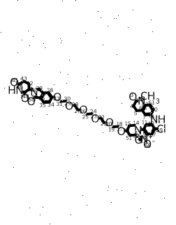 CN1C(=O)CCc2cc(Nc3cc(N4CCC(OCCOCCOCCOCCOCCOc5ccc6c(c5)CN(C5CCC(=O)NC5=O)C6=O)CC4)c([N+](=O)[O-])cc3Cl)ccc21